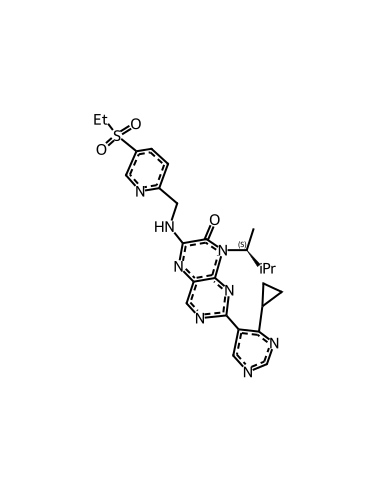 CCS(=O)(=O)c1ccc(CNc2nc3cnc(-c4cncnc4C4CC4)nc3n([C@@H](C)C(C)C)c2=O)nc1